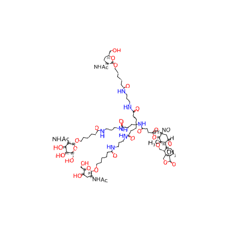 CC(=O)N[C@H]1[C@H](OCCCCCC(=O)NCCCNC(=O)CCC(CCC(=O)NCCCNC(=O)CCCCCO[C@@H]2O[C@H](CO)CC[C@H]2NC(C)=O)(CCC(=O)NCCCNC(=O)CCCCCO[C@@H]2O[C@H](CO)[C@H](O)C[C@H]2NC(C)=O)NC(=O)CCC(=O)O[C@@H]2[C@](N=O)(C(C)C)C[C@@H]3O[C@@]34[C@@]3(C)CCC5=C(COC5=O)C3CO[C@]24C)O[C@H](CO)[C@H](O)[C@@H]1O